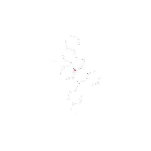 Cc1ccc(N(c2ccc(C)cc2)c2ccccc2-n2nc3ccc4ccccc4c3n2)cc1